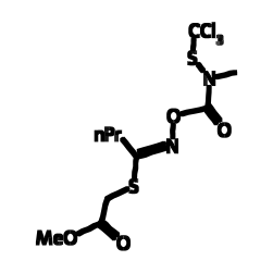 CCC/C(=N\OC(=O)N(C)SC(Cl)(Cl)Cl)SCC(=O)OC